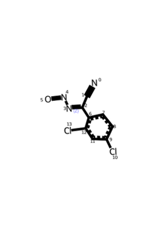 N#C/C(=N\N=O)c1ccc(Cl)cc1Cl